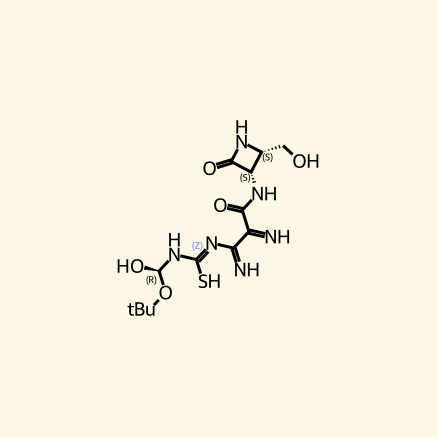 CC(C)(C)O[C@@H](O)N/C(S)=N/C(=N)C(=N)C(=O)N[C@@H]1C(=O)N[C@@H]1CO